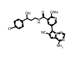 COc1ncc(-c2c(C#N)cc3c(N)ncnn23)cc1C(=O)NCCC(O)c1ccc(Cl)cc1